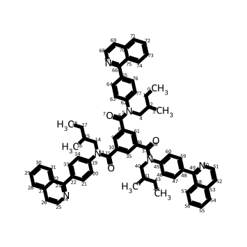 CCC(C)CN(C(=O)c1cc(C(=O)N(CC(C)CC)c2ccc(-c3nccc4ccccc34)cc2)cc(C(=O)N(CC(C)CC)c2ccc(-c3nccc4ccccc34)cc2)c1)c1ccc(-c2nccc3ccccc23)cc1